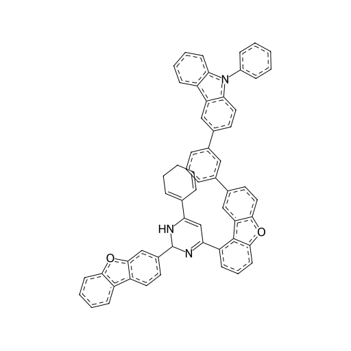 C1=CC(C2=CC(c3cccc4oc5ccc(-c6cccc(-c7ccc8c(c7)c7ccccc7n8-c7ccccc7)c6)cc5c34)=NC(c3ccc4c(c3)oc3ccccc34)N2)=CCC1